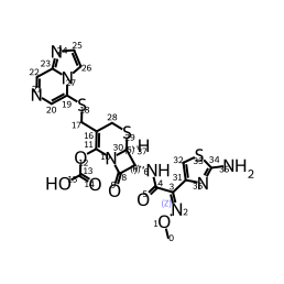 CO/N=C(\C(=O)N[C@@H]1C(=O)N2C(OC(=O)O)=C(CSc3cncc4nccn34)CS[C@@H]12)c1csc(N)n1